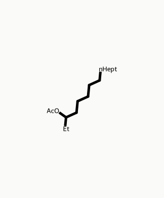 CCCCCCCCCCCCC(CC)OC(C)=O